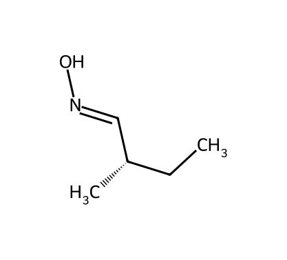 CC[C@H](C)C=NO